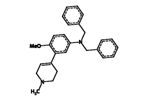 COc1ccc(N(Cc2ccccc2)Cc2ccccc2)cc1C1=CCN(C)CC1